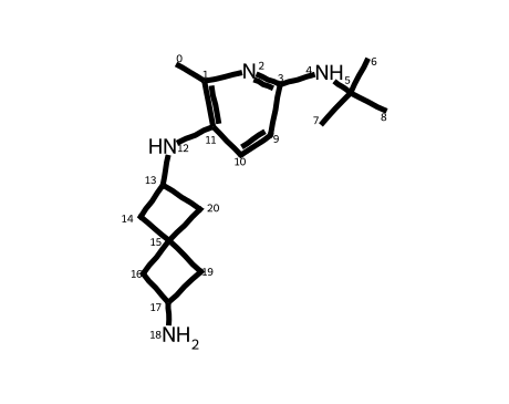 Cc1nc(NC(C)(C)C)ccc1NC1CC2(CC(N)C2)C1